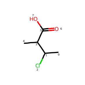 CC(Cl)C(C)C(=O)O